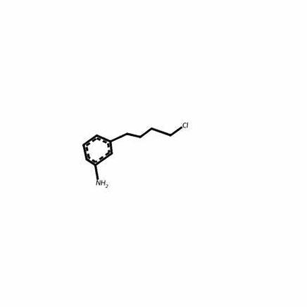 Nc1cccc(CCCCCl)c1